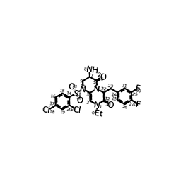 CCN1C=C2N(C(=O)C(N)CN2S(=O)(=O)c2ccc(Cl)cc2Cl)C(Cc2ccc(F)c(F)c2)C1=O